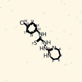 S=C(NNC1=NCCCCN1)Nc1ccc(Cl)cc1